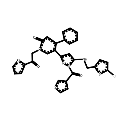 O=C(Cn1cc(-c2cc(NCc3ccc(Cl)s3)n(C(=O)c3ccoc3)n2)c(-c2ccccc2)cc1=O)c1ccco1